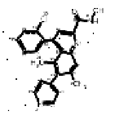 Cc1cc2nc(C(=O)NO)cc(-c3ccccc3Cl)c2c(C)c1-c1ccncc1